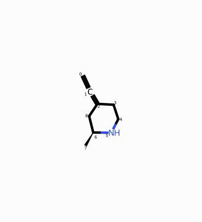 C=C=C1CCN[C@@H](C)C1